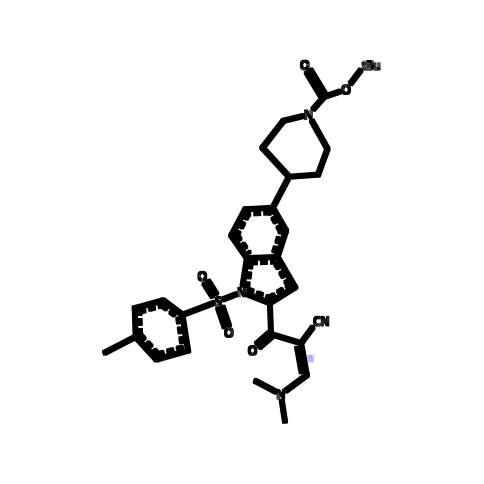 Cc1ccc(S(=O)(=O)n2c(C(=O)/C(C#N)=C\N(C)C)cc3cc(C4CCN(C(=O)OC(C)(C)C)CC4)ccc32)cc1